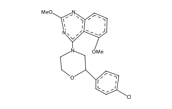 COc1nc(N2CCOC(c3ccc(Cl)cc3)C2)c2c(OC)cccc2n1